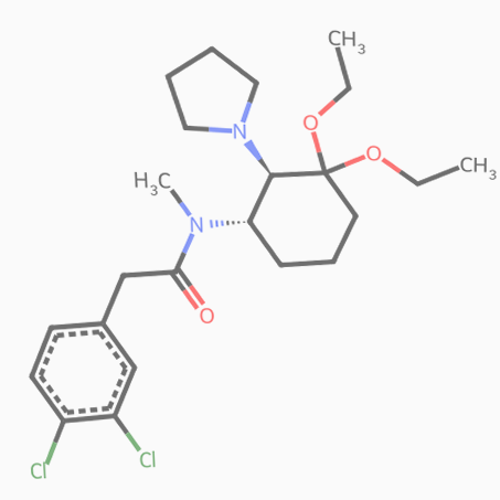 CCOC1(OCC)CCC[C@H](N(C)C(=O)Cc2ccc(Cl)c(Cl)c2)[C@H]1N1CCCC1